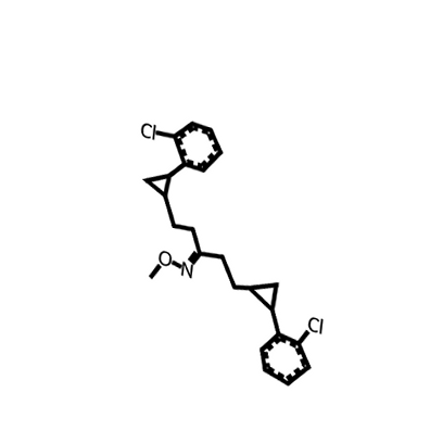 CON=C(CCC1CC1c1ccccc1Cl)CCC1CC1c1ccccc1Cl